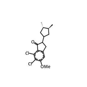 COc1cc2c(c(Cl)c1Cl)C(=O)C(C1C[C@H](C)[C@@H](C)C1)C2